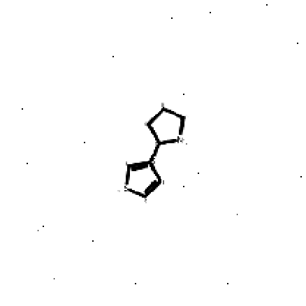 c1cc(C2CCC[N]2)cs1